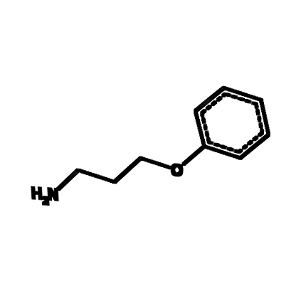 NCCCOc1ccccc1